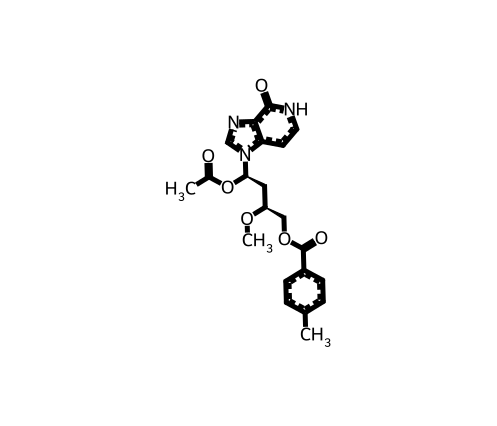 CO[C@H](COC(=O)c1ccc(C)cc1)C[C@@H](OC(C)=O)n1cnc2c(=O)[nH]ccc21